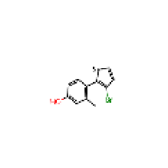 Cc1cc(O)ccc1-c1[se]ccc1Br